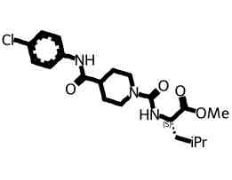 COC(=O)[C@H](CC(C)C)NC(=O)N1CCC(C(=O)Nc2ccc(Cl)cc2)CC1